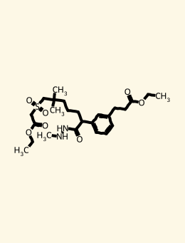 CCOC(=O)CCc1cccc(C(CCCC(C)(C)CS(=O)(=O)CC(=O)OCC)C(=O)NNC)c1